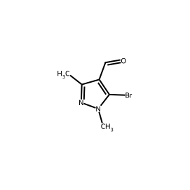 Cc1nn(C)c(Br)c1C=O